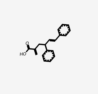 C=C(CC(C=Cc1ccccc1)c1ccccc1)C(=O)O